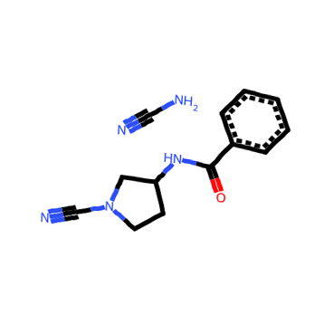 N#CN.N#CN1CCC(NC(=O)c2ccccc2)C1